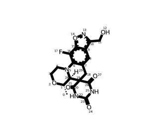 C[C@@H]1OCCN2c3c(cc4c(CO)noc4c3F)CC3(C(=O)NC(=O)NC3=O)[C@@H]12